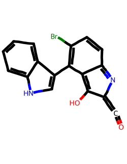 O=C=C1N=c2ccc(Br)c(-c3c[nH]c4ccccc34)c2=C1O